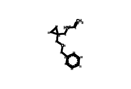 C=CNCC1(COCc2ccccc2)CC1